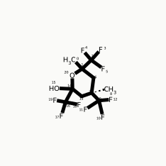 CC1(C(F)(F)F)C[C@@](C)(C(F)(F)F)CC(O)(C(F)(F)F)O1